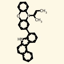 C/C=C(\C)N1c2ccccc2Oc2ccc(-c3cccc4c3[nH]c3ccc5ccccc5c34)cc21